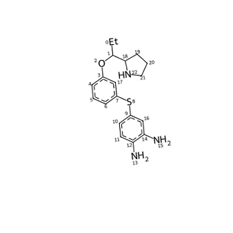 CCC(Oc1cccc(Sc2ccc(N)c(N)c2)c1)C1CCCN1